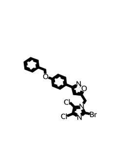 Clc1nc(Br)n(Cc2cc(-c3ccc(OCc4ccccc4)cc3)no2)c1Cl